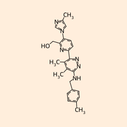 Cc1ccc(CNc2nnc(-c3ccc(-n4cnc(C)c4)c(CO)n3)c(C)c2C)cc1